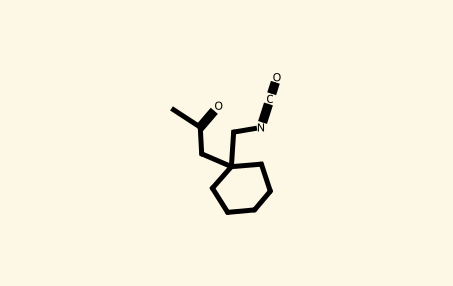 CC(=O)CC1(CN=C=O)CCCCC1